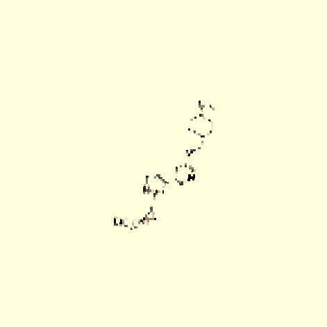 CCOC(=O)[C@@H]1CC1c1cc(-c2cncc(OC[C@H]3CC[C@H](C(F)(F)F)CC3)c2)ccn1